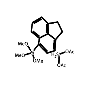 CC(=O)O[SiH2]OC(C)=O.CO[Si](OC)(OC)c1ccc2c3c(cccc13)CC2